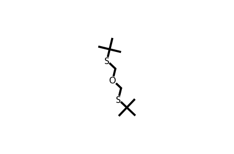 CC(C)(C)SCOCSC(C)(C)C